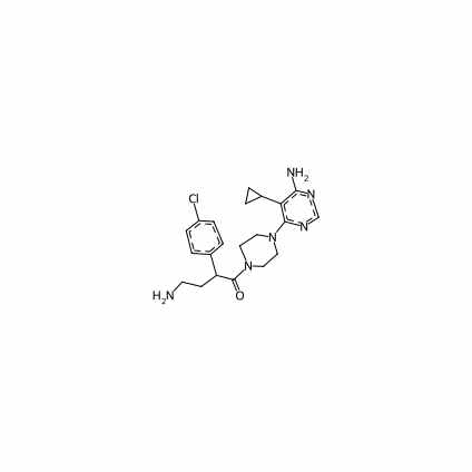 NCCC(C(=O)N1CCN(c2ncnc(N)c2C2CC2)CC1)c1ccc(Cl)cc1